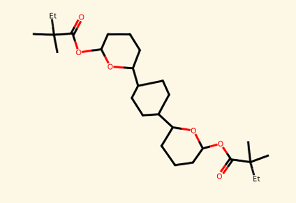 CCC(C)(C)C(=O)OC1CCCC(C2CCC(C3CCCC(OC(=O)C(C)(C)CC)O3)CC2)O1